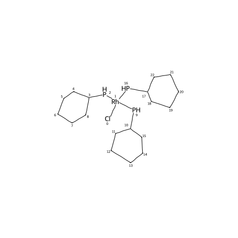 [Cl][Rh]([PH]C1CCCCC1)([PH]C1CCCCC1)[PH]C1CCCCC1